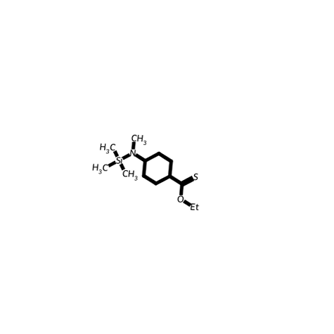 CCOC(=S)C1CCC(N(C)[Si](C)(C)C)CC1